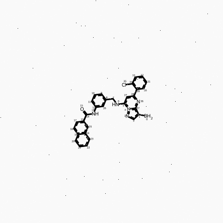 Bc1cnn2c(NCc3cccc(NC(=O)c4ccc5ccccc5c4)c3)cc(-c3ccccc3Cl)nc12